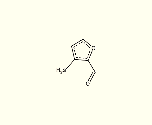 O=Cc1occc1[SiH3]